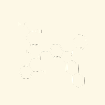 CC(C)Oc1cc(-c2ccc3c(c2)c2cc4ccccc4cc2n3-c2ccccc2)nc(-c2ccccc2O)n1